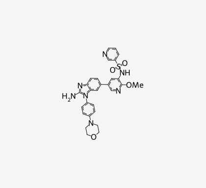 COc1ncc(-c2ccc3nc(N)n(-c4ccc(N5CCOCC5)cc4)c3c2)cc1NS(=O)(=O)c1cccnc1